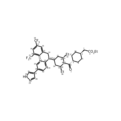 CCOC(=O)C[C@H]1CC[C@H](C(=O)N2[C@H](CC)CC(N(Cc3cc(C(F)(F)F)cc(C(F)(F)F)c3)c3ncc(-c4cn[nH]c4)cn3)C[C@@H]2CC)CC1